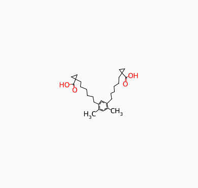 Cc1cc(C)c(CCCCCCC2(C(=O)O)CC2)cc1CCCCCCC1(C(=O)O)CC1